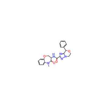 CN1C(=O)C(NC(=O)c2nc3n(n2)CCOC3c2ccccc2)COc2ccccc21